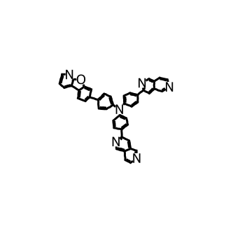 c1cnc2oc3cc(-c4ccc(N(c5ccc(-c6cc7cnccc7cn6)cc5)c5ccc(-c6cc7cnccc7cn6)cc5)cc4)ccc3c2c1